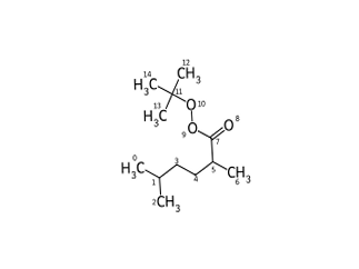 CC(C)CCC(C)C(=O)OOC(C)(C)C